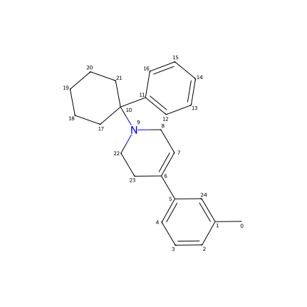 Cc1cccc(C2=CCN(C3(c4ccccc4)CCCCC3)CC2)c1